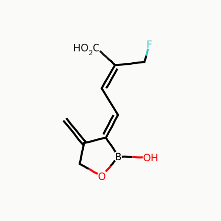 C=C1COB(O)/C1=C/C=C(\CF)C(=O)O